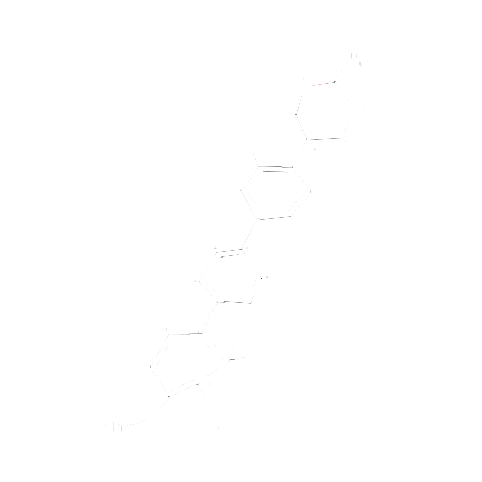 CCCOc1ccc(-c2ccc(-c3ccc(C4COC(CCC)OC4)c(F)c3)cc2)c(F)c1F